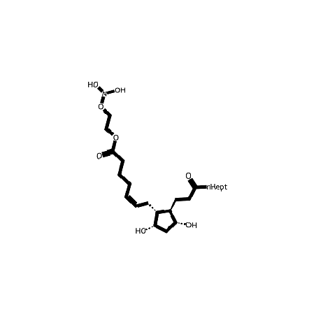 CCCCCCCC(=O)CC[C@@H]1[C@@H](C/C=C\CCCC(=O)OCCON(O)O)[C@@H](O)C[C@H]1O